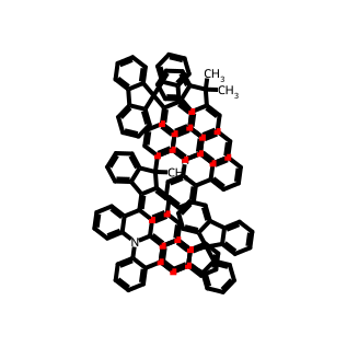 CC1(C)c2ccccc2-c2c(-c3ccccc3N(c3ccccc3-c3ccc4c(c3)-c3ccccc3C43c4ccccc4-c4ccccc43)c3ccccc3-c3ccccc3-c3cccc(CC4(C)c5ccccc5-c5c(-c6ccccc6N(c6ccccc6-c6ccc7c(c6)-c6ccccc6C76c7ccccc7-c7ccccc76)c6cccc7c6ccc6ccccc67)cccc54)c3)cccc21